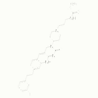 CC(C)(C)OC(=O)NCCCN1CCC(N2CC3=Cc4ccc(CCc5cccc(F)c5)cc4NC3=NC2=O)CC1